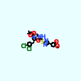 COc1ccc(-c2cnc(SCC(=O)NC(C)[C@@H]3C[C@@H](Cc4ccc(Cl)c(Cl)c4)CN3C(=O)OC(C)(C)C)nc2)cc1OC